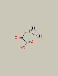 CCC.O=C(O)C(=O)O